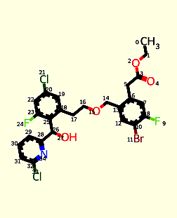 CCOC(=O)Cc1cc(F)c(Br)cc1COCCc1cc(Cl)cc(F)c1C(O)c1cccc(Cl)n1